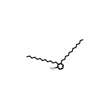 CCCCCCCCCCCCc1cccc(P)c1CCCCCCCCCCCC